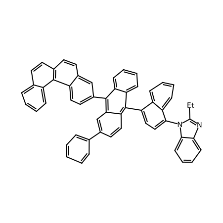 CCc1nc2ccccc2n1-c1ccc(-c2c3ccccc3c(-c3ccc4c(ccc5ccc6ccccc6c54)c3)c3cc(-c4ccccc4)ccc23)c2ccccc12